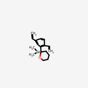 C=Cc1ccc(C=C)c(C2([SiH](C)C)CCCCO2)c1